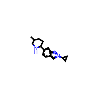 CC1CCC(c2ccc3cn(C4CC4)nc3c2)NC1